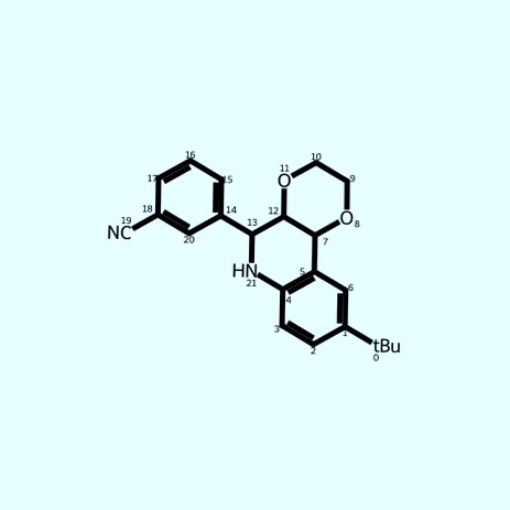 CC(C)(C)c1ccc2c(c1)C1OCCOC1C(c1cccc(C#N)c1)N2